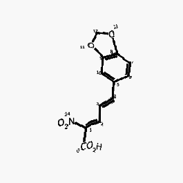 O=C(O)C(=CC=Cc1ccc2c(c1)OCO2)[N+](=O)[O-]